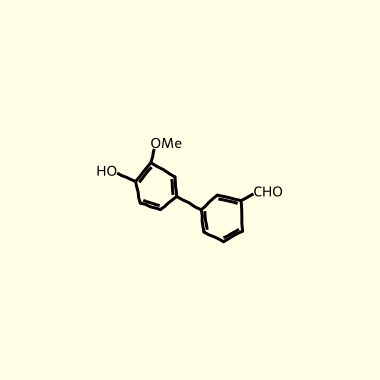 COc1cc(-c2cccc(C=O)c2)ccc1O